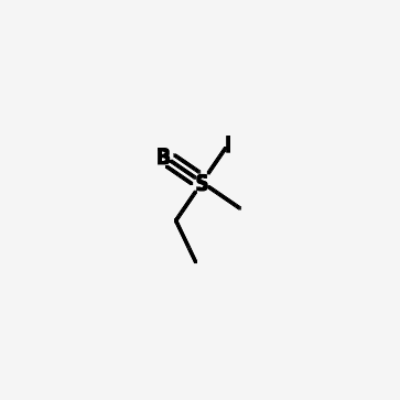 B#S(C)(I)CC